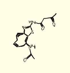 CC(=O)CC(=O)Nc1nc2cccc(NC(C)=O)c2s1